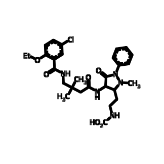 CCOc1ccc(Cl)cc1C(=O)NCC(C)(C)CC(=O)NC1C(=O)N(c2ccccc2)N(C)C1CCNC(=O)O